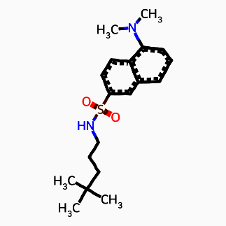 CN(C)c1cccc2cc(S(=O)(=O)NCCCC(C)(C)C)ccc12